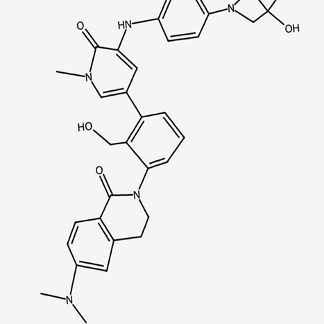 CN(C)c1ccc2c(c1)CCN(c1cccc(-c3cc(Nc4ccc(N5CC(C)(O)C5)cn4)c(=O)n(C)c3)c1CO)C2=O